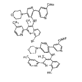 COc1cncc(-c2ncc(N3CCOCC3)cc2Nc2c(C)c(-c3cc(C)ccn3)nc3c(C#N)cccc23)c1.COc1cncc(-c2ncc(N3CCOCC3)cc2Nc2c(C)c(-c3cc(C)ccn3)nc3c(C#N)cccc23)c1